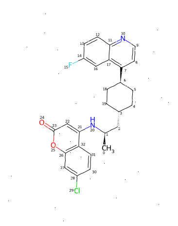 C[C@H](C[C@H]1CC[C@H](c2ccnc3ccc(F)cc32)CC1)Nc1cc(=O)oc2cc(Cl)ccc12